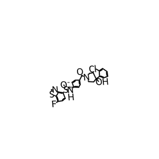 O=C(c1ccc(N[S+]([O-])c2ccc(F)c3scnc23)cc1)N1CCC(O)(c2ccccc2Cl)CC1